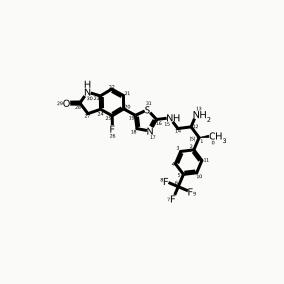 C[C@@H](c1ccc(C(F)(F)F)cc1)C(N)CNc1ncc(-c2ccc3c(c2F)CC(=O)N3)s1